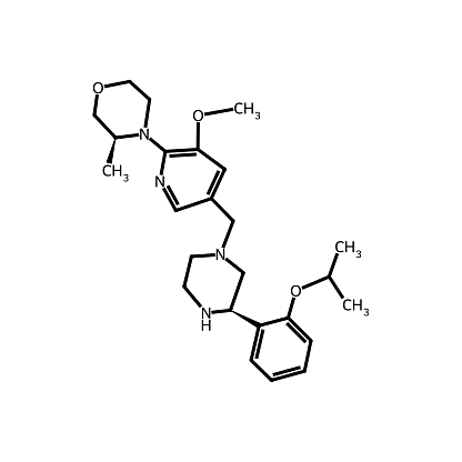 COc1cc(CN2CCN[C@H](c3ccccc3OC(C)C)C2)cnc1N1CCOC[C@@H]1C